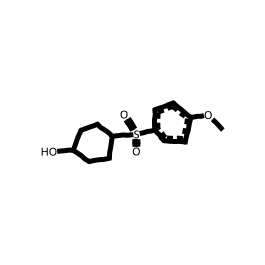 COc1ccc(S(=O)(=O)C2CCC(O)CC2)cc1